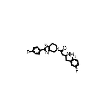 NC(CC(=O)N1CCc2sc(-c3ccc(F)cc3)nc2C1)Cc1cc(F)ccc1F